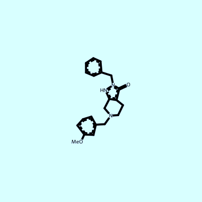 COc1cccc(CN2CCc3c([nH]n(Cc4ccccc4)c3=O)C2)c1